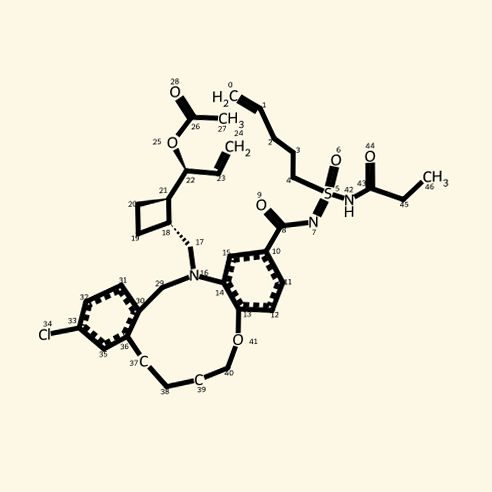 C=CCCCS(=O)(=NC(=O)c1ccc2c(c1)N(C[C@@H]1CC[C@H]1[C@H](C=C)OC(C)=O)Cc1ccc(Cl)cc1CCCCO2)NC(=O)CC